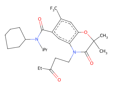 CCC(=O)CCN1C(=O)C(C)(C)Oc2cc(C(F)(F)F)c(C(=O)N(C(C)C)C3CCCCC3)cc21